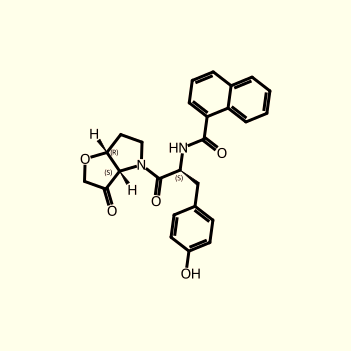 O=C(N[C@@H](Cc1ccc(O)cc1)C(=O)N1CC[C@H]2OCC(=O)[C@H]21)c1cccc2ccccc12